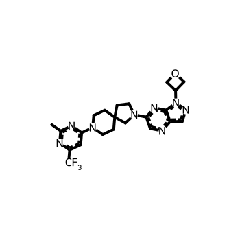 Cc1nc(N2CCC3(CC2)CCN(c2cnc4cnn(C5COC5)c4n2)C3)cc(C(F)(F)F)n1